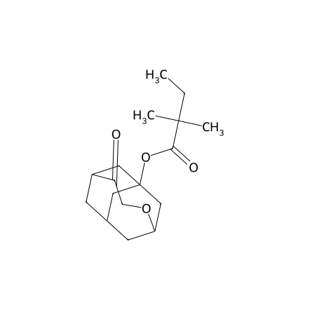 CCC(C)(C)C(=O)OC12CC3CC(C1)OCC(=O)C(C3)C2